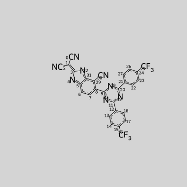 N#CC(C#N)=C1N=c2ccc(-c3nc(-c4ccc(C(F)(F)F)cc4)nc(-c4ccc(C(F)(F)F)cc4)n3)c(C#N)c2=N1